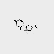 CC(O)[C@H]1O[C@@H](n2ccc(=O)[nH]c2=O)[C@@](O)(F)[C@@H]1O